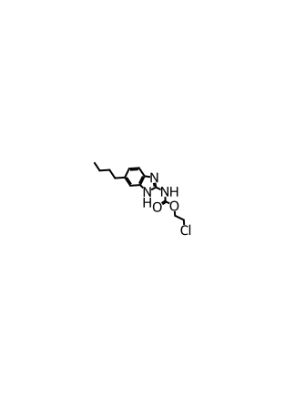 CCCCc1ccc2nc(NC(=O)OCCCl)[nH]c2c1